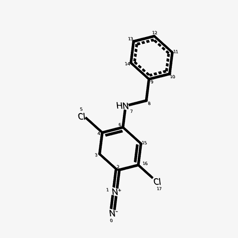 [N-]=[N+]=C1CC(Cl)=C(NCc2ccccc2)C=C1Cl